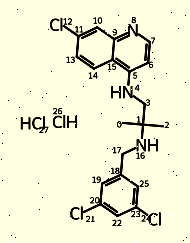 CC(C)(CNc1ccnc2cc(Cl)ccc12)NCc1cc(Cl)cc(Cl)c1.Cl.Cl